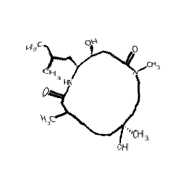 CC(C)C[C@@H]1NC(=O)C(C)CCC[C@](C)(O)CCCN(C)C(=O)C[C@@H]1O